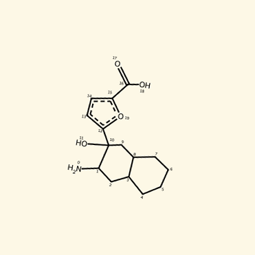 NC1CC2CCCCC2CC1(O)c1ccc(C(=O)O)o1